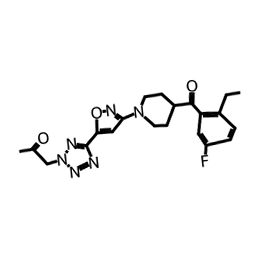 CCc1ccc(F)cc1C(=O)C1CCN(c2cc(-c3nnn(CC(C)=O)n3)on2)CC1